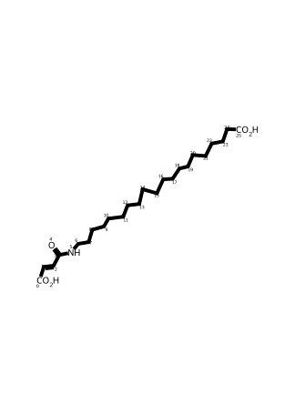 O=C(O)C=CC(=O)NCCCCCCCCCCCCCCCCCCCC(=O)O